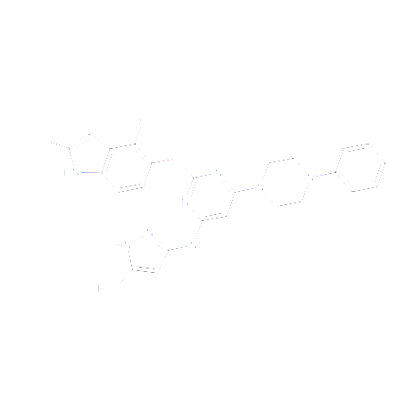 Cc1cc(Nc2cc(N3CCN(c4ccccc4)CC3)nc(Oc3ccc4[nH]c(C)cc4c3Cl)n2)n[nH]1